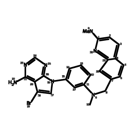 CNc1ccc2ccc(CN(C)c3cccc(-n4cc(Br)c5c(N)ncnc54)c3)cc2n1